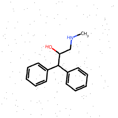 CNCC(O)C(c1ccccc1)c1ccccc1